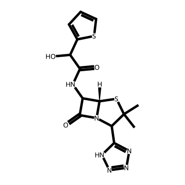 CC1(C)S[C@H]2C(NC(=O)C(O)c3cccs3)C(=O)N2C1c1nnn[nH]1